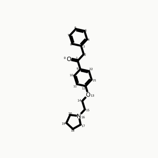 O=C(Cc1ccccc1)c1ccc(OCCN2CCCC2)cc1